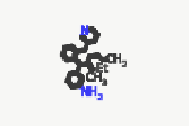 C=C\C=C/C(C(/c1cccc(N)c1)=c1/cccc/c1=C\c1cccnc1)=C(/C)CC